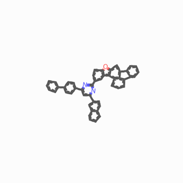 c1ccc(-c2ccc(-c3cc(-c4ccc5ccccc5c4)nc(-c4ccc5oc6cc7c8c(cccc8c6c5c4)-c4ccccc4-7)n3)cc2)cc1